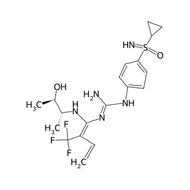 C=C/C(=C(\N=C(/N)Nc1ccc(S(=N)(=O)C2CC2)cc1)N[C@H](C)[C@@H](C)O)C(F)(F)F